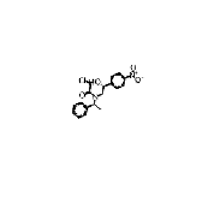 C[C@@H](c1ccccc1)N(C[C@H](O)c1ccc([N+](=O)[O-])cc1)C(=O)CCl